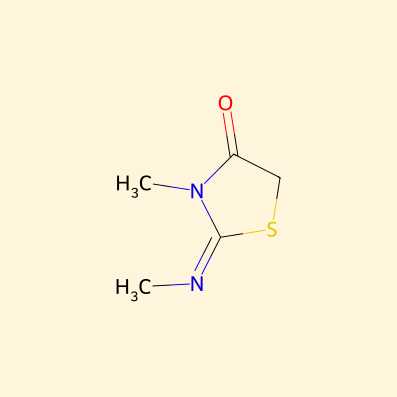 CN=C1SCC(=O)N1C